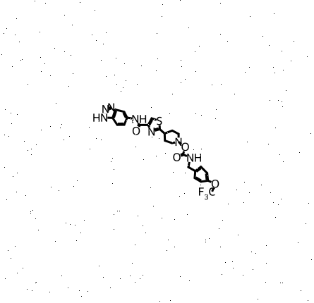 O=C(NCc1ccc(OC(F)(F)F)cc1)ON1CCC(c2nc(C(=O)Nc3ccc4[nH]nnc4c3)cs2)CC1